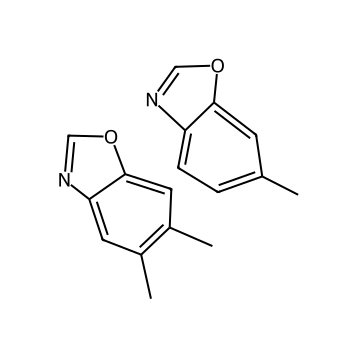 Cc1cc2ncoc2cc1C.Cc1ccc2ncoc2c1